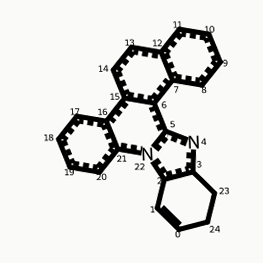 C1=Cc2c(nc3c4c5ccccc5ccc4c4ccccc4n23)CC1